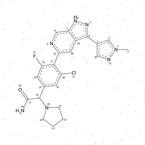 Cn1cc(-c2n[nH]c3cnc(-c4c(F)cc(C(C(N)=O)N5CCCC5)cc4Cl)cc23)cn1